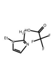 CCn1ccnc1C.O=C(O)C(F)(F)F